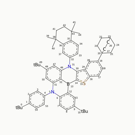 CC(C)(C)c1ccc(N2c3ccc(C(C)(C)C)cc3B3c4sc5ccc(C67CCC(CC6)CC7)cc5c4N(c4ccc5c(c4)C(C)(C)CCC5(C)C)c4cc(C(C)(C)C)cc2c43)cc1